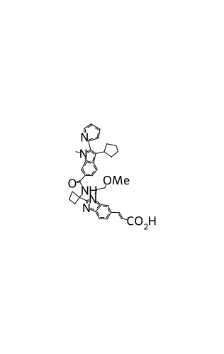 COCCn1c(C2(NC(=O)c3ccc4c(C5CCCC5)c(-c5ccccn5)n(C)c4c3)CCC2)nc2ccc(/C=C/C(=O)O)cc21